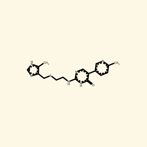 Cc1ccc(-c2cnc(NCCSCc3nc[nH]c3C)[nH]c2=O)cn1